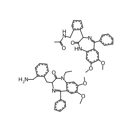 CCN1C(=O)C(Cc2ccccc2CN)N=C(c2ccccc2)c2cc(OC)c(OC)cc21.COc1cc2c(cc1OC)C(c1ccccc1)=NC(c1ccccc1CNC(C)=O)C(=O)N2